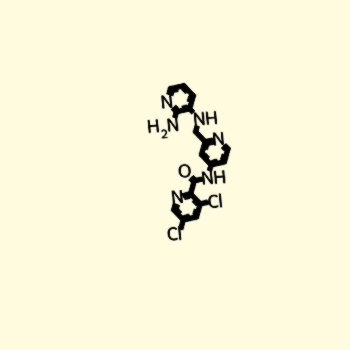 Nc1ncccc1NCc1cc(NC(=O)c2ncc(Cl)cc2Cl)ccn1